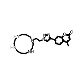 Cc1cc(=O)oc2cc(-c3cn(CCN4CCCNCCNCCCNCC4)nn3)ccc12